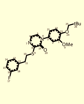 COc1cc(-n2ccnc(SCCc3cccc(F)c3)c2=O)ccc1OCC(C)(C)C